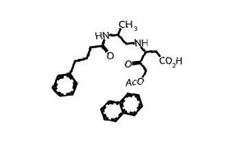 CC(=O)OCC(=O)C(CC(=O)O)NCC(C)NC(=O)CCCc1ccccc1.c1ccc2ccccc2c1